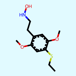 CCSc1cc(OC)c(CCNO)cc1OC